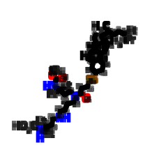 CC[C@H](CC[C@@H](C)[C@H]1CC[C@H]2[C@@H]3CC=C4C[C@@H](SSCCC(=O)N(CCCCNCCC(CC)(CC)NC(=O)O)CCC(CC)(CC)NC(=O)OC(C)(C)C)CC[C@]4(C)[C@H]3CC[C@]12C)C(C)C